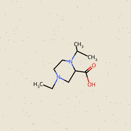 CCN1CCN(C(C)C)C(C(=O)O)C1